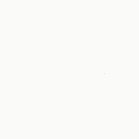 c1ccc(-c2c(-c3ccccc3)c(-c3ccccc3)c(-c3ccc(-c4c5ccccc5c(-c5cccc6cccnc56)c5ccccc45)cc3)c(-c3ccccc3)c2-c2ccccc2)cc1